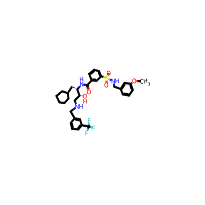 COc1cccc(CNS(=O)(=O)c2cccc(C(=O)N[C@@H](CC3CCCCC3)[C@H](O)CNCc3cccc(C(F)(F)F)c3)c2)c1